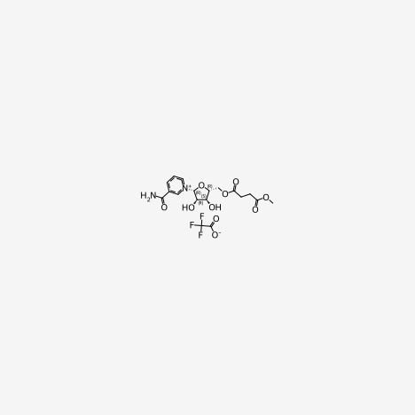 COC(=O)CCC(=O)OC[C@H]1O[C@@H]([n+]2cccc(C(N)=O)c2)[C@H](O)[C@@H]1O.O=C([O-])C(F)(F)F